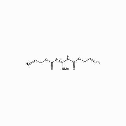 C=CCOC(=O)/N=C(\NC)NC(=O)OCC=C